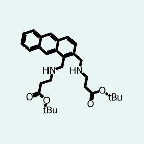 CC(C)(C)OC(=O)CCNCc1ccc2cc3ccccc3cc2c1CNCCC(=O)OC(C)(C)C